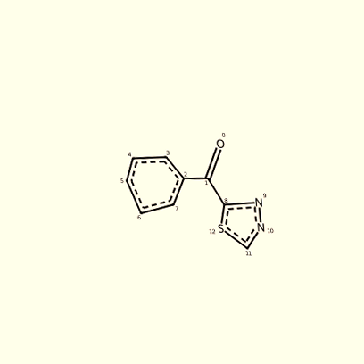 O=C(c1ccccc1)c1nncs1